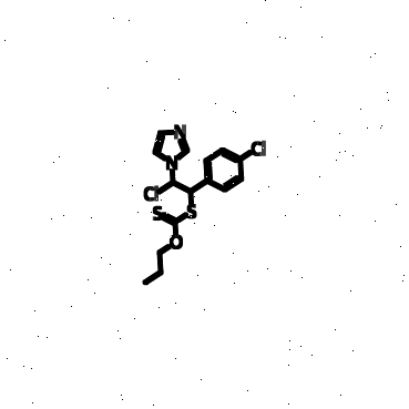 CCCOC(=S)SC(c1ccc(Cl)cc1)C(Cl)n1ccnc1